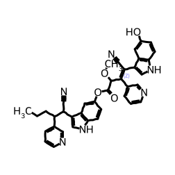 CCCC(c1cccnc1)C(C#N)c1c[nH]c2ccc(OC(=O)C(OC)/C(=C(\C#N)c3c[nH]c4ccc(O)cc34)c3cccnc3)cc12